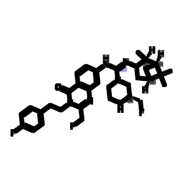 C[C@@H]1C(/N=C(/Nc2ccc3c(=O)n(CCc4ccc(F)cc4)c(CF)nc3c2)N2CCN[C@@H](CF)C2)C[C@H]2C[C@@H]1C2(C)C